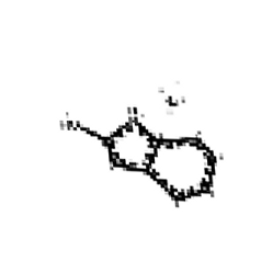 Oc1cc2ccccc2[nH]1.[H-].[Na+]